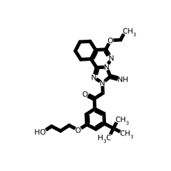 CCOc1nn2c(=N)n(CC(=O)c3cc(OCCCO)cc(C(C)(C)C)c3)nc2c2c1CCCC2